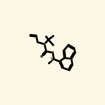 C=CCN(C(=O)O[C@H](C)c1cccc2ccccc12)C(C)(C)C